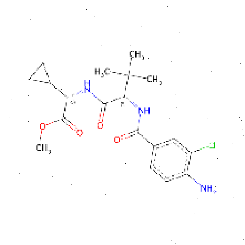 COC(=O)[C@@H](NC(=O)[C@@H](NC(=O)c1ccc(N)c(Cl)c1)C(C)(C)C)C1CC1